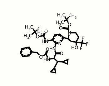 CC(C)(C)OC(=O)Nc1ccc(C2CC(O)(C(F)(F)F)CCN2C(=O)OC(C)(C)C)nc1NC(=O)C(NC(=O)OCc1ccccc1)C(C1CC1)C1CC1